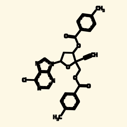 C#CC1(COC(=O)c2ccc(C)cc2)OC(n2cnc3c(Cl)ncnc32)CC1OC(=O)c1ccc(C)cc1